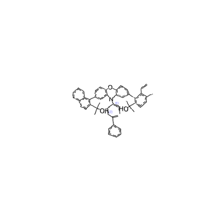 C=Cc1c(C)ccc(C(C)(C)O)c1-c1ccc2c(c1)N(C(/C=C\C(=C)c1ccccc1)=C/C)c1cc(-c3c(C(C)(C)O)ccc4ccccc34)ccc1O2